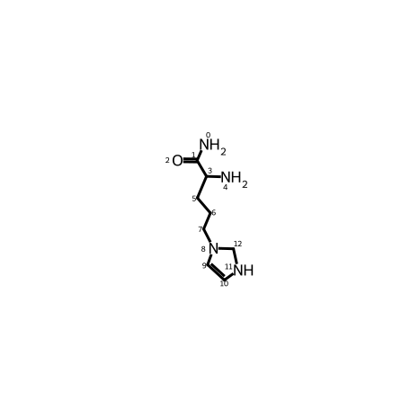 NC(=O)C(N)CCCN1C=CNC1